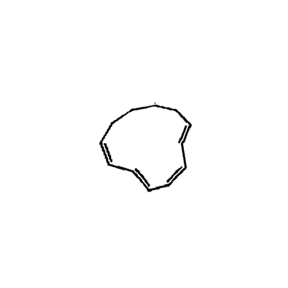 [CH]1C/C=C/C=C\C=C\C=C/CC1